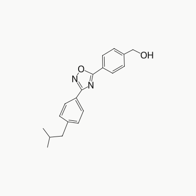 CC(C)Cc1ccc(-c2noc(-c3ccc(CO)cc3)n2)cc1